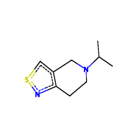 CC(C)N1CCc2nscc2C1